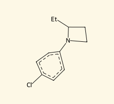 CCC1CCN1c1ccc(Cl)cc1